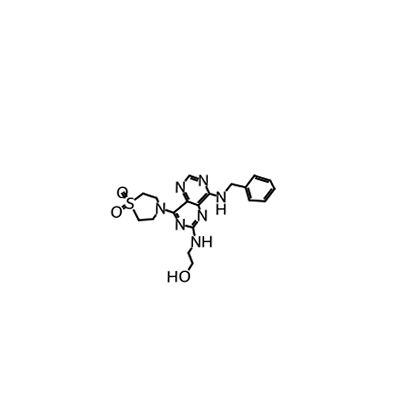 O=S1(=O)CCN(c2nc(NCCO)nc3c(NCc4ccccc4)ncnc23)CC1